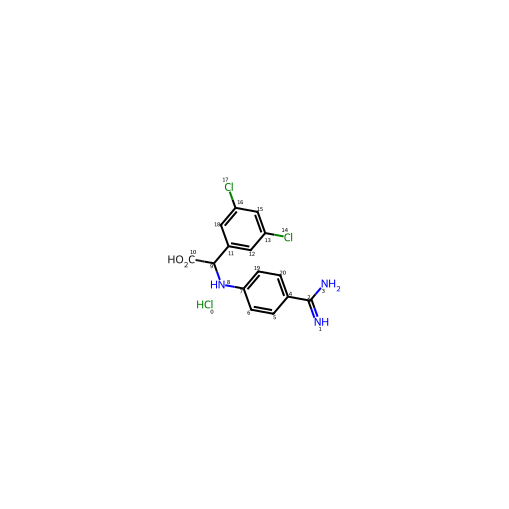 Cl.N=C(N)c1ccc(NC(C(=O)O)c2cc(Cl)cc(Cl)c2)cc1